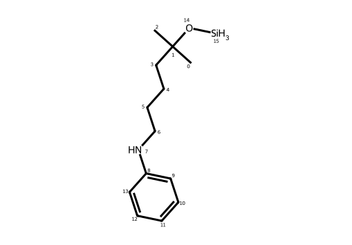 CC(C)(CCCCNc1ccccc1)O[SiH3]